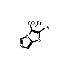 CCOC(=O)c1c(C(C)C)sc2cncn12